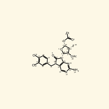 CCC(=O)O[C@H]1O[C@@H](n2c(=O)n(Cc3ccc(Cl)c(Cl)c3)c3cnc(N)nc32)[C@H](OC(C)=O)[C@H]1F